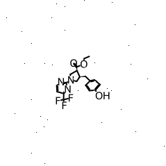 CCOC(=O)[C@@H]1CN(c2nccc(C(F)(F)F)n2)C[C@@H]1Cc1ccc(O)cc1